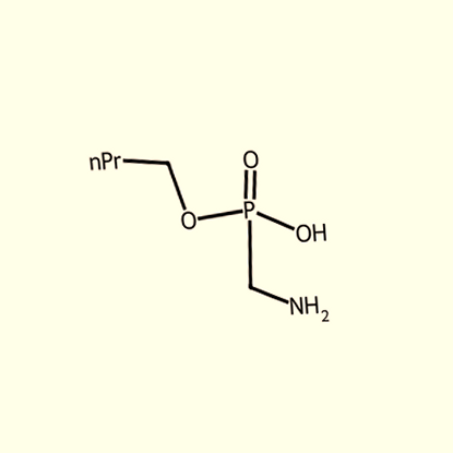 CCCCOP(=O)(O)CN